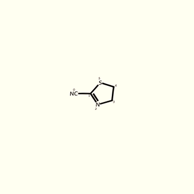 N#CC1=NCCS1